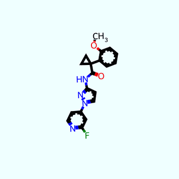 COc1ccccc1C1(C(=O)Nc2ccn(-c3ccnc(F)c3)n2)CC1